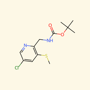 CSc1cc(Cl)cnc1CNC(=O)OC(C)(C)C